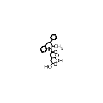 CC(NC(=O)CC(CC(=O)O)C(=O)O)C(Cc1ccccc1)c1ccccc1